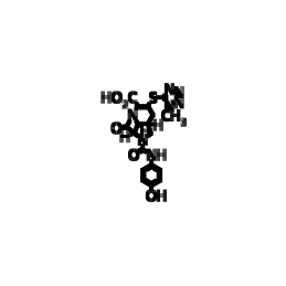 Cn1nnnc1SC1=C(C(=O)O)N2C(=O)[C@@H]3[C@H]2[C@H](C1)CN3C(=O)Nc1ccc(O)cc1